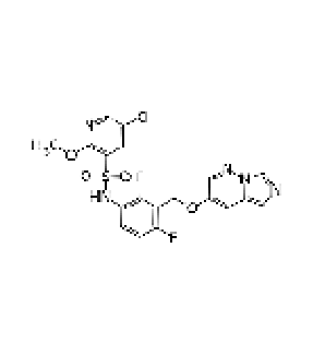 COc1ncc(Cl)cc1S(=O)(=O)Nc1ccc(F)c(COc2cnn3cncc3c2)c1F